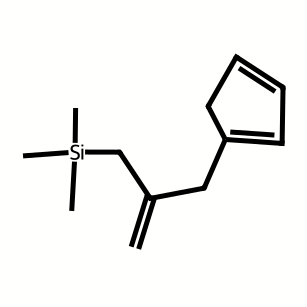 C=C(CC1=CC=CC1)C[Si](C)(C)C